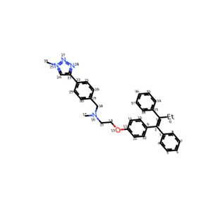 CC/C(=C(\c1ccccc1)c1ccc(OCCN(C)Cc2ccc(-c3cn(C)nn3)cc2)cc1)c1ccccc1